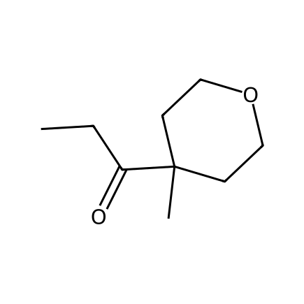 CCC(=O)C1(C)CCOCC1